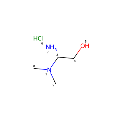 CN(C)CCO.Cl.N